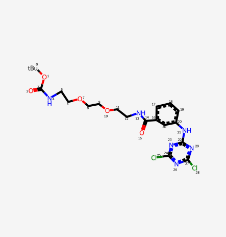 CC(C)(C)OC(=O)NCCOCCOCCNC(=O)c1cccc(Nc2nc(Cl)nc(Cl)n2)c1